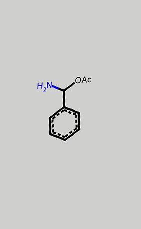 CC(=O)O[C](N)c1ccccc1